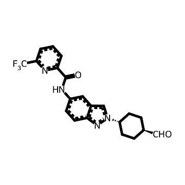 O=C[C@H]1CC[C@H](n2cc3cc(NC(=O)c4cccc(C(F)(F)F)n4)ccc3n2)CC1